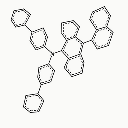 c1ccc(-c2ccc(N(c3ccc(-c4ccccc4)cc3)c3c4ccccc4c(-c4cccc5ccccc45)c4ccccc34)cc2)cc1